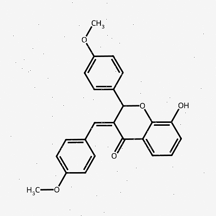 COc1ccc(C=C2C(=O)c3cccc(O)c3OC2c2ccc(OC)cc2)cc1